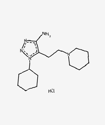 Cl.Nc1nnn(C2CCCCC2)c1CCN1CCCCC1